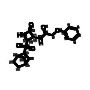 O=C(COc1ccccc1)N[C@@H]1C(=O)N[C@@H]1S(=O)(=O)C1CC2CCC1C2